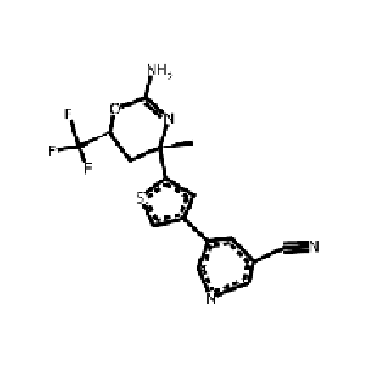 C[C@@]1(c2cc(-c3cncc(C#N)c3)cs2)C[C@@H](C(F)(F)F)OC(N)=N1